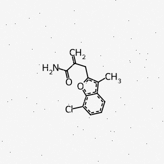 C=C(Cc1oc2c(Cl)cccc2c1C)C(N)=O